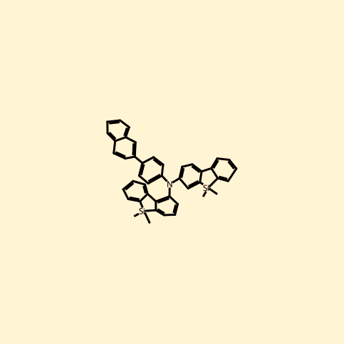 C[Si]1(C)c2ccccc2-c2ccc(N(c3ccc(-c4ccc5ccccc5c4)cc3)c3cccc4c3-c3ccccc3[Si]4(C)C)cc21